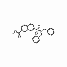 COC(=O)c1ccc2ccc(S(=O)(=O)N(Cc3ccccc3)Cc3ccccc3)cc2c1